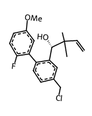 C=CC(C)(C)[C@@H](O)c1cc(CCl)ccc1-c1cc(OC)ccc1F